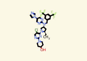 CC[C@@H]1C[C@H](N(Cc2cc(C(F)(F)F)cc(C(F)(F)F)c2)c2ncc(-n3ccnc3)cn2)CN1c1nc(N2CCC(O)CC2)ncc1Cl